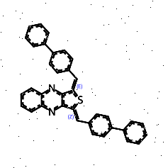 C(/c1ccc(-c2ccccc2)cc1)=c1/s/c(=C/c2ccc(-c3ccccc3)cc2)c2nc3ccccc3nc12